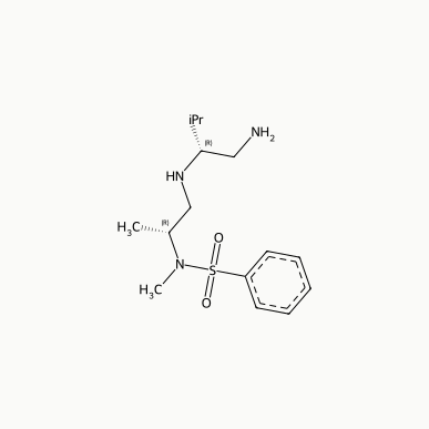 CC(C)[C@H](CN)NC[C@@H](C)N(C)S(=O)(=O)c1ccccc1